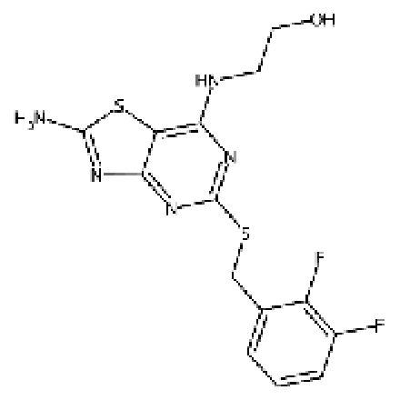 Nc1nc2nc(SCc3cccc(F)c3F)nc(NCCO)c2s1